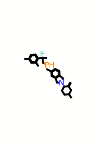 C=C1CC(C)CCC1N1Cc2ccc(CPCC(C)(F)c3ccc(C)cc3C)cc2C1